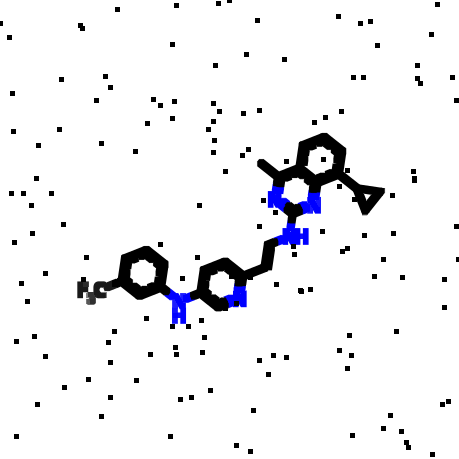 Cc1nc(N/C=C/c2ccc(Nc3cccc(C(F)(F)F)c3)cn2)nc2c(C3CC3)cccc12